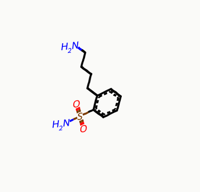 NCCCCc1ccccc1S(N)(=O)=O